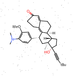 COc1cc([C@H]2C[C@@]3(C)[C@@H](CC[C@@]3(O)C#CC(C)(C)C)[C@@H]3CCC4=CC(=O)CCC4=C32)ccc1N(C)C